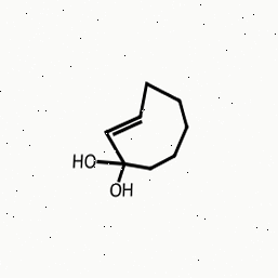 OC1(O)/C=C/CCCCC1